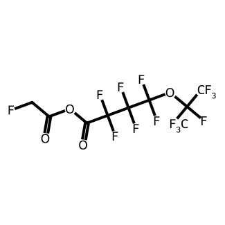 O=C(CF)OC(=O)C(F)(F)C(F)(F)C(F)(F)OC(F)(C(F)(F)F)C(F)(F)F